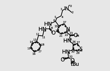 CN(C)CCCC(NC(=O)NCCc1ccccc1)c1ccc(C(=O)Nc2cscc2NC(=O)OC(C)(C)C)nc1